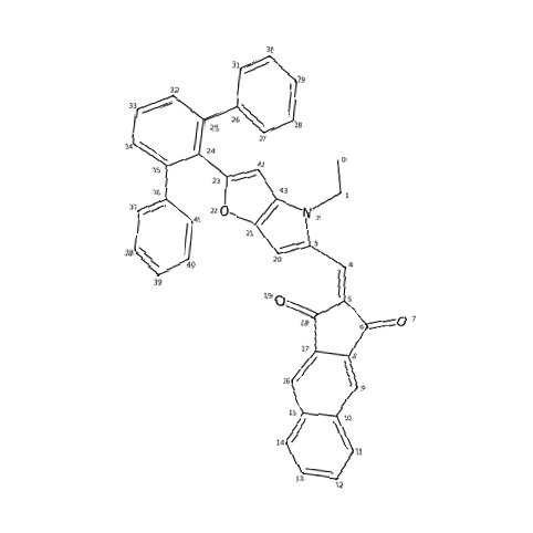 CCn1c(C=C2C(=O)c3cc4ccccc4cc3C2=O)cc2oc(-c3c(-c4ccccc4)cccc3-c3ccccc3)cc21